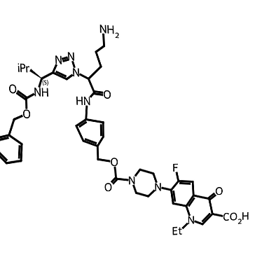 CCn1cc(C(=O)O)c(=O)c2cc(F)c(N3CCN(C(=O)OCc4ccc(NC(=O)C(CCCN)n5cc([C@@H](NC(=O)OCc6ccccc6)C(C)C)nn5)cc4)CC3)cc21